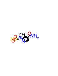 CN(C[SH](=O)=O)c1cc(C(N)=O)ccn1